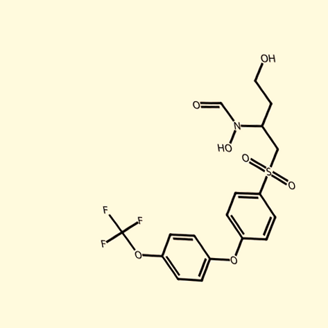 O=CN(O)C(CCO)CS(=O)(=O)c1ccc(Oc2ccc(OC(F)(F)F)cc2)cc1